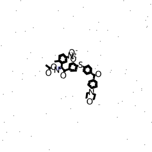 CC(=O)O/N=C(/C(=O)c1ccc(Sc2ccc(C(=O)c3ccc(N4CCOCC4)cc3)cc2)cc1)c1cc([N+](=O)[O-])ccc1C